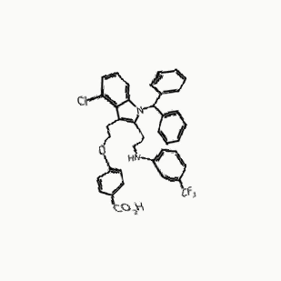 O=C(O)c1ccc(OCCc2c(CCNc3cccc(C(F)(F)F)c3)n(C(c3ccccc3)c3ccccc3)c3cccc(Cl)c23)cc1